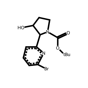 CC(C)(C)OC(=O)N1CCC(O)C1c1cccc(Br)n1